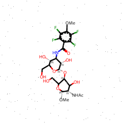 COc1c(F)c(F)c(C(=O)NC2[C@@H](O)C(CO)O[C@@H](O[C@@H]3C(CO)O[C@@H](OC)[C@@H](NC(C)=O)C3O)[C@H]2O)c(F)c1F